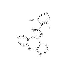 COc1cccc(F)c1-c1nc2c([nH]1)-c1ccncc1Nc1ncccc1-2